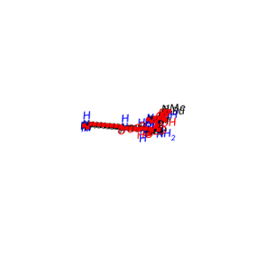 CCCC[C@H](NC(=O)[C@@H](NC(=O)[C@H](Cc1c[nH]cn1)NC(=O)[C@H](CCC(N)=O)NC(=O)[C@H](CO)NC(=O)CNC(=O)COCCOCCNC(=O)CCCCCCCCCCCCCCCc1nnn[nH]1)[C@@H](C)O)C(=O)NC